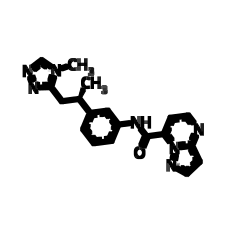 C[C@H](Cc1nncn1C)c1cccc(NC(=O)c2ccnc3ccnn23)c1